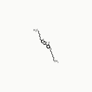 CCCCCCCCOc1ccc(-c2cn3cc(CCCCCCC)sc3n2)c(F)c1